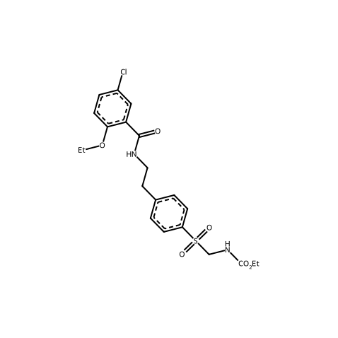 CCOC(=O)NCS(=O)(=O)c1ccc(CCNC(=O)c2cc(Cl)ccc2OCC)cc1